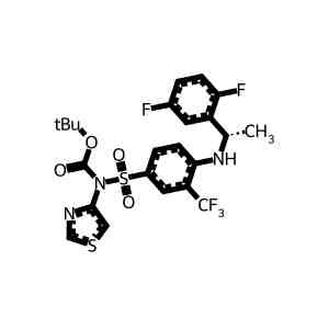 C[C@H](Nc1ccc(S(=O)(=O)N(C(=O)OC(C)(C)C)c2cscn2)cc1C(F)(F)F)c1cc(F)ccc1F